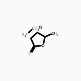 CC1CCC(=O)O1.CCOC(C)=O